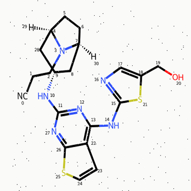 N#CCCN1[C@@H]2CC[C@H]1C[C@H](Nc1nc(Nc3ncc(CO)s3)c3ccsc3n1)C2